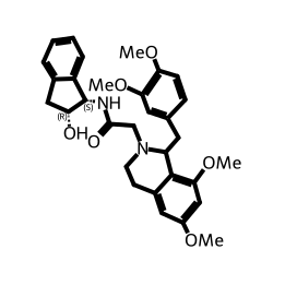 COc1cc2c(c(OC)c1)C(Cc1ccc(OC)c(OC)c1)N(CC(=O)N[C@H]1c3ccccc3C[C@H]1O)CC2